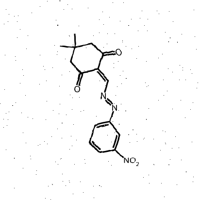 CC1(C)CC(=O)C(=CN=Nc2cccc([N+](=O)[O-])c2)C(=O)C1